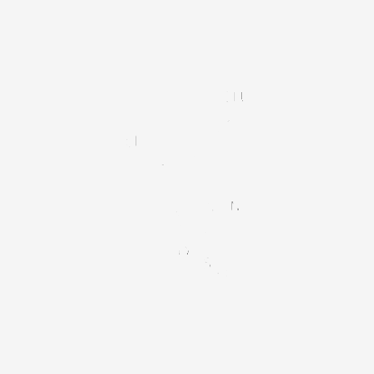 CS(=O)(=O)Cc1cccc2c(C(CCCO)c3ccc(Cl)cc3)c[nH]c12